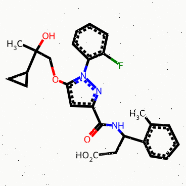 Cc1ccccc1C(CC(=O)O)NC(=O)c1cc(OCC(C)(O)C2CC2)n(-c2ccccc2F)n1